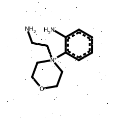 NCC[N+]1(c2ccccc2N)CCOCC1